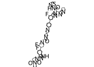 O=C1CCN(c2n[nH]c3cc(C4CCN(CC(=O)N5CC6(C5)CN(c5ccc(-c7cc(F)c8cn(C(C(=O)Nc9nccs9)c9ncn%10c9CCC%10)nc8c7)cc5)C6)CC4(F)F)ccc23)C(=O)N1